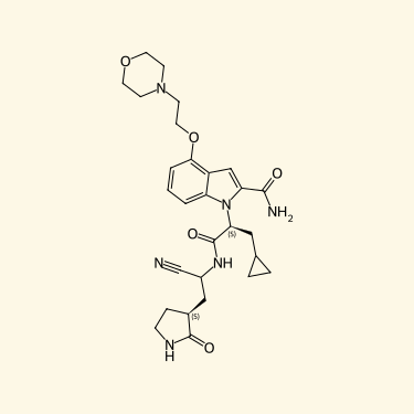 N#CC(C[C@@H]1CCNC1=O)NC(=O)[C@H](CC1CC1)n1c(C(N)=O)cc2c(OCCN3CCOCC3)cccc21